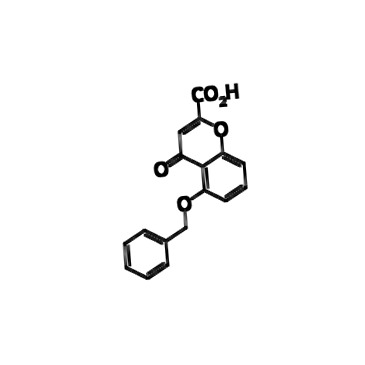 O=C(O)c1cc(=O)c2c(OCc3ccccc3)cccc2o1